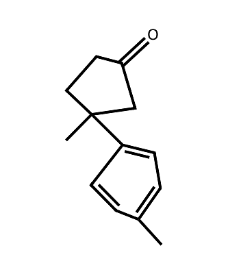 Cc1ccc(C2(C)CCC(=O)C2)cc1